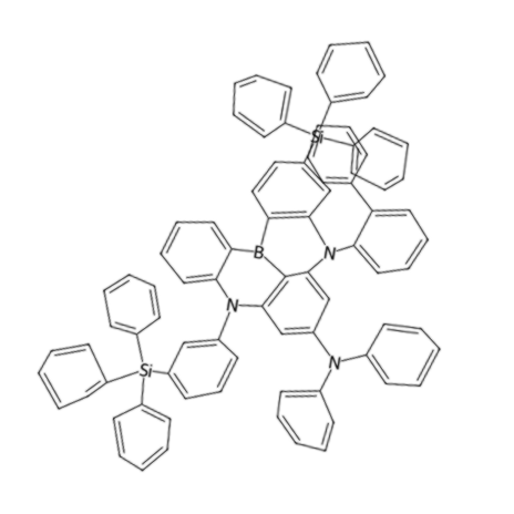 c1ccc(-c2ccccc2N2c3cc([Si](c4ccccc4)(c4ccccc4)c4ccccc4)ccc3B3c4ccccc4N(c4cccc([Si](c5ccccc5)(c5ccccc5)c5ccccc5)c4)c4cc(N(c5ccccc5)c5ccccc5)cc2c43)cc1